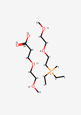 CC[P+](C)(CC)CCOCCOC.COCCOCCC(=O)[O-]